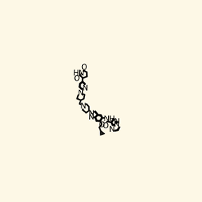 O=C1CCC(c2ccc(N3CCC(CN4CCC(n5cc6cc(NC(=O)c7cnn8cccnc78)c(OCC7CC7)cc6n5)CC4)CC3)nc2)C(=O)N1